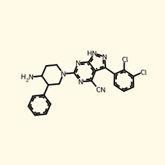 N#Cc1nc(N2CCC(N)C(c3ccccc3)C2)nc2[nH]nc(-c3cccc(Cl)c3Cl)c12